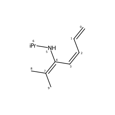 C=C/C=C\C(NC(C)C)=C(C)C